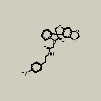 Cc1ccc(CCNC(=O)CN2C(=O)C3(COc4cc5c(cc43)OCO5)c3ccccc32)cc1